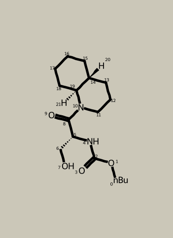 CCCCOC(=O)N[C@H](CO)C(=O)N1CCC[C@H]2CCCC[C@@H]21